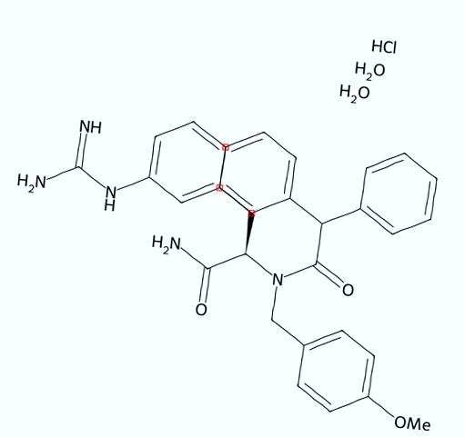 COc1ccc(CN(C(=O)C(c2ccccc2)c2ccccc2)[C@H](Cc2cccc(NC(=N)N)c2)C(N)=O)cc1.Cl.O.O